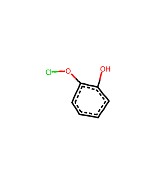 Oc1ccccc1OCl